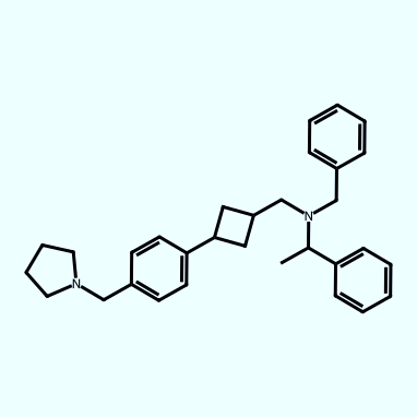 CC(c1ccccc1)N(Cc1ccccc1)CC1CC(c2ccc(CN3CCCC3)cc2)C1